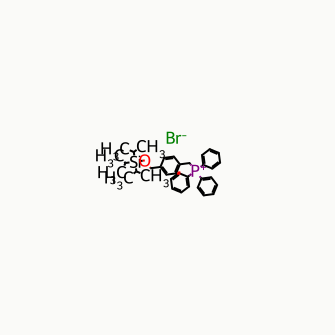 CC(C)[Si](OCc1ccc(C[P+](c2ccccc2)(c2ccccc2)c2ccccc2)cc1)(C(C)C)C(C)C.[Br-]